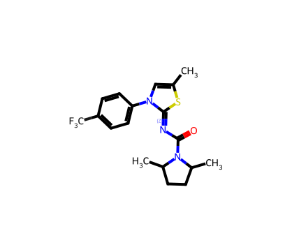 Cc1cn(-c2ccc(C(F)(F)F)cc2)/c(=N/C(=O)N2C(C)CCC2C)s1